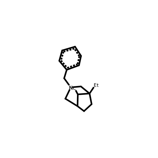 CCC12CCC(CN(Cc3ccccc3)C1)C2C#N